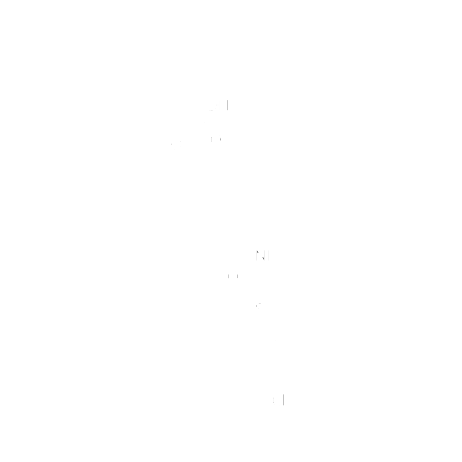 O=C(Nc1ccc(-c2ccc(O[C@H](Cc3ccccc3)C(=O)O)cc2)cc1)c1ccc(-c2ccc(Cl)cc2)s1